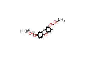 CCOCOc1ccc(Oc2ccc(OCOCC)cc2)cc1